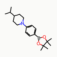 CC(C)C1CCN(c2ccc(B3OC(C)(C)C(C)(C)O3)cc2)CC1